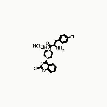 Cl.Cl.N[C@H](Cc1ccc(Cl)cc1)C(=O)N1CCN(c2nc(Cl)nc3ccccc23)CC1